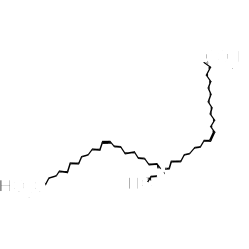 O=C(O)CCCCCCCCCCC/C=C\CCCCCCCCN(CCO)CCCCCCCC/C=C\CCCCCCCCCCCC(=O)O